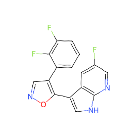 Fc1cnc2[nH]cc(-c3oncc3-c3cccc(F)c3F)c2c1